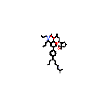 C=C/C=C(\c1cc(-c2ccc(C(CCC)CC/C=C/C(C)C)cc2)ccc1CC(=C)C)N(CCC)CCC(=C)CC(=O)C1=CCCC12COC2